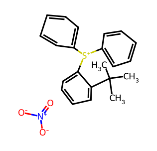 CC(C)(C)c1ccccc1[S+](c1ccccc1)c1ccccc1.O=[N+]([O-])[O-]